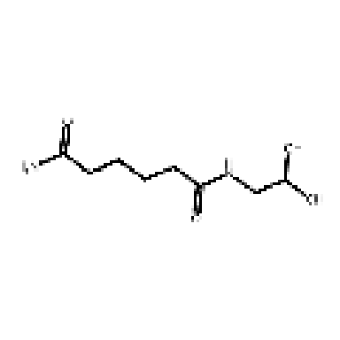 NC(=O)CCCCC(=O)NCC(O)O